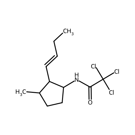 CCC=CC1C(C)CCC1NC(=O)C(Cl)(Cl)Cl